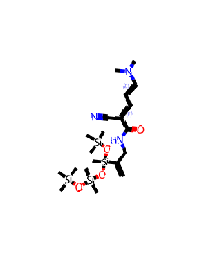 C=C(CNC(=O)/C(C#N)=C/C=C/N(C)C)[Si](C)(O[Si](C)(C)C)O[Si](C)(C)O[Si](C)(C)C